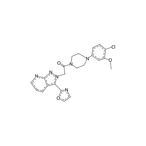 COc1cc(N2CCN(C(=O)Cn3nc4ncccc4c3-c3ncco3)CC2)ccc1Cl